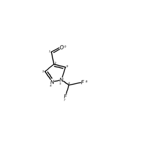 O=Cc1cnn(C(F)F)c1